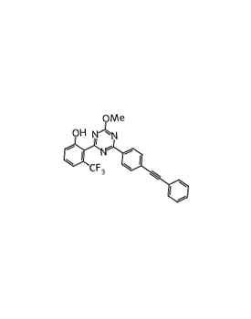 COc1nc(-c2ccc(C#Cc3ccccc3)cc2)nc(-c2c(O)cccc2C(F)(F)F)n1